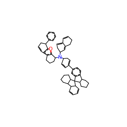 C1=CC2C3CCCCC3C3(c4cc(C5=CCC(N(C6C=C7CCC=CC7=CC6)C6CCCc7c6oc6c7C=CCC6c6ccccc6)C=C5)ccc4C4CCCCC43)C2C=C1